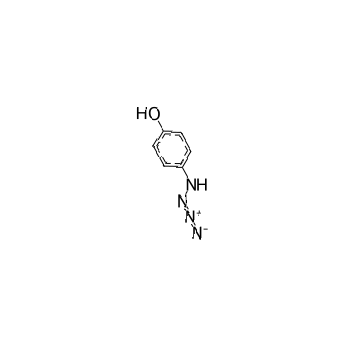 [N-]=[N+]=NNc1ccc(O)cc1